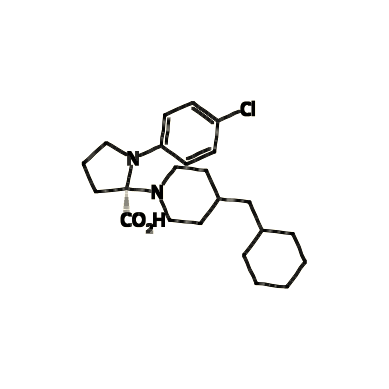 O=C(O)[C@]1(N2CCC(CC3CCCCC3)CC2)CCCN1c1ccc(Cl)cc1